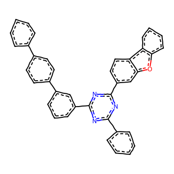 c1ccc(-c2ccc(-c3cccc(-c4nc(-c5ccccc5)nc(-c5ccc6c(c5)oc5ccccc56)n4)c3)cc2)cc1